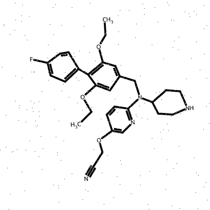 CCOc1cc(CN(c2ccc(OCC#N)cn2)C2CCNCC2)cc(OCC)c1-c1ccc(F)cc1